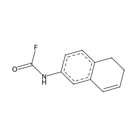 O=C(F)Nc1ccc2c(c1)C=CCC2